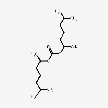 CC(C)CCCC(C)OC(=O)OC(C)CCCC(C)C